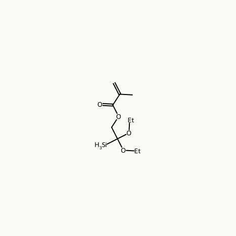 C=C(C)C(=O)OCC([SiH3])(OCC)OCC